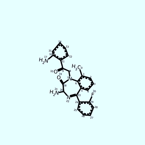 Cc1cccc2c1N(CC(=O)c1ccccc1N)C(=O)C(N)N=C2c1ccccc1F